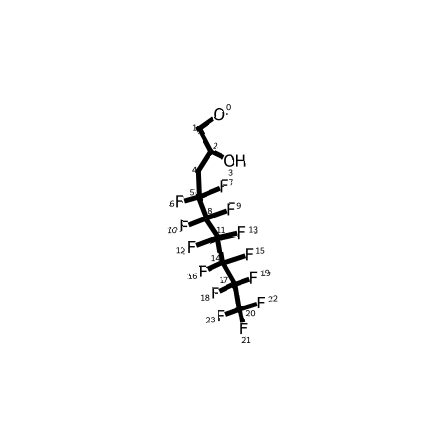 [O]CC(O)CC(F)(F)C(F)(F)C(F)(F)C(F)(F)C(F)(F)C(F)(F)F